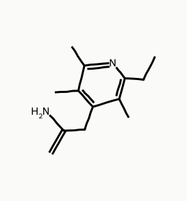 C=C(N)Cc1c(C)c(C)nc(CC)c1C